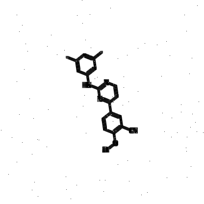 CCOc1ccc(-c2ccnc(Nc3cc(C)cc(C)c3)n2)cc1C#N